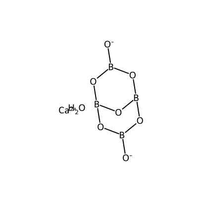 O.[Ca+2].[O-]B1OB2OB([O-])OB(O1)O2